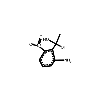 CC(O)(O)c1c(N)cccc1[N+](=O)[O-]